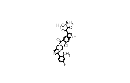 Cc1cc(F)ccc1-c1ncc2n1CCN(C(=O)c1cc3c(C(=O)C(=O)N(C)C)c[nH]c3cc1Cl)C2